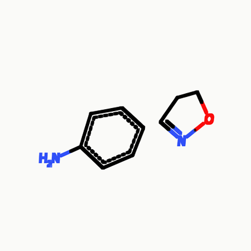 C1=NOCC1.Nc1ccccc1